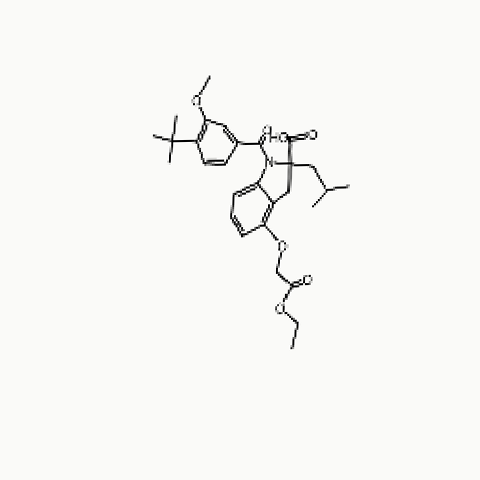 CCOC(=O)COc1cccc2c1CC(CC(C)C)(C(=O)O)N2C(=O)c1ccc(C(C)(C)C)c(OC)c1